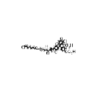 O=C(O)c1ccc(-c2c3cc(Cl)c(=O)cc-3oc3cc(N4CC(C(=O)NCCOCCOCCCCCCCl)C4)c(Cl)cc23)c(C(=O)O)c1